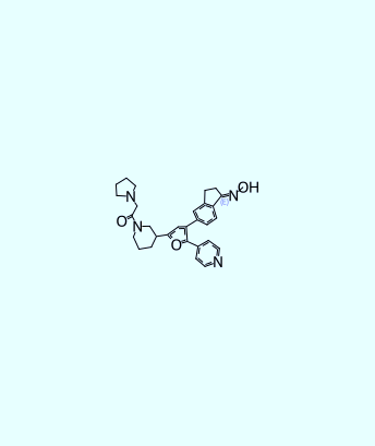 O=C(CN1CCCC1)N1CCCC(c2cc(-c3ccc4c(c3)CC/C4=N\O)c(-c3ccncc3)o2)C1